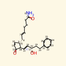 NC(=O)CCCC=CC[C@H]1C=CC(=O)[C@@H]1/C=C/[C@@H](O)CCc1ccccc1